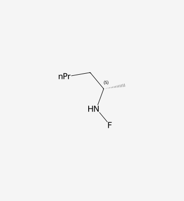 CCCC[C@H](C)NF